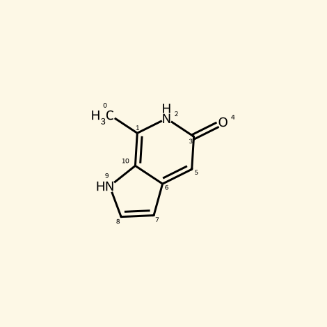 Cc1[nH]c(=O)cc2cc[nH]c12